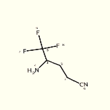 N#CCCC(N)C(F)(F)F